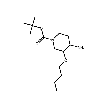 CCCCOC1CN(C(=O)OC(C)(C)C)CCC1N